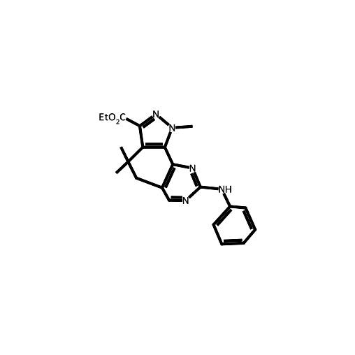 CCOC(=O)c1nn(C)c2c1C(C)(C)Cc1cnc(Nc3ccccc3)nc1-2